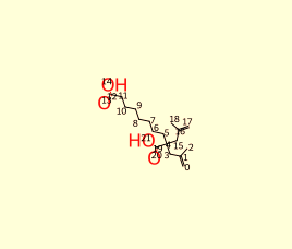 C=C(C)CC(CCCCCCCC(=O)O)(CC(=C)C)C(=O)O